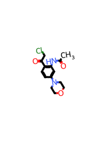 CC(=O)Nc1cc(N2CCOCC2)ccc1C(=O)CCl